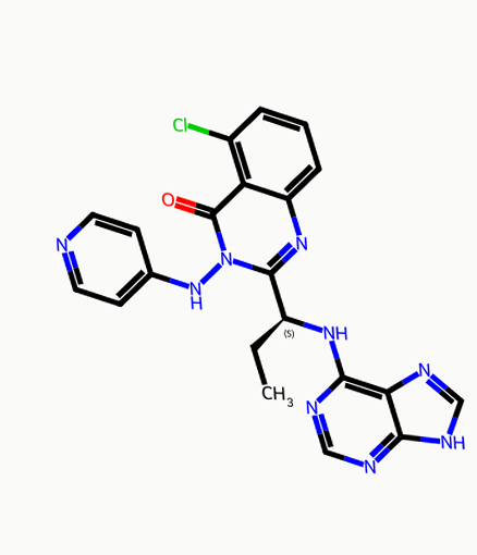 CC[C@H](Nc1ncnc2[nH]cnc12)c1nc2cccc(Cl)c2c(=O)n1Nc1ccncc1